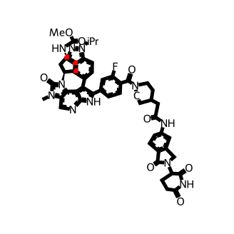 COC(=O)N[C@@H]1CC[C@@H](n2c(=O)n(C)c3cnc4[nH]c(-c5ccc(C(=O)N6CCC(CC(=O)Nc7ccc8c(c7)CN(C7CCC(=O)NC7=O)C8=O)CC6)c(F)c5)c(-c5ccc6c(cnn6C(C)C)c5)c4c32)C1